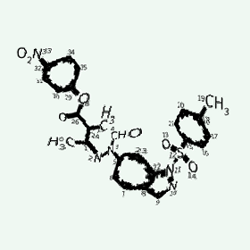 C/C(=N/N(C=O)c1ccc2cnn(S(=O)(=O)c3ccc(C)cc3)c2c1)C(C)C(=O)Oc1ccc([N+](=O)[O-])cc1